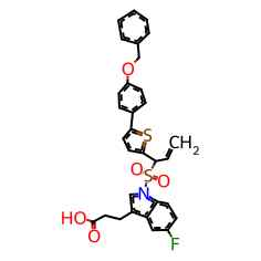 C=CC(c1ccc(-c2ccc(OCc3ccccc3)cc2)s1)S(=O)(=O)n1cc(CCC(=O)O)c2cc(F)ccc21